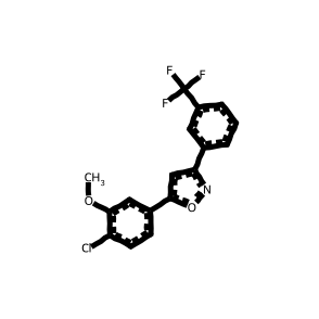 COc1cc(-c2cc(-c3cccc(C(F)(F)F)c3)no2)ccc1Cl